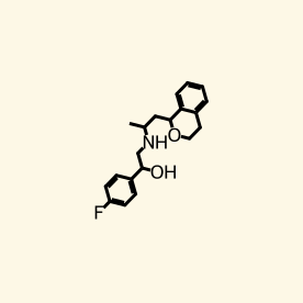 CC(CC1OCCc2ccccc21)NCC(O)c1ccc(F)cc1